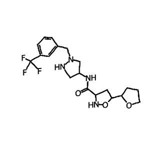 O=C(NC1CNN(Cc2cccc(C(F)(F)F)c2)C1)C1CC(C2CCCO2)ON1